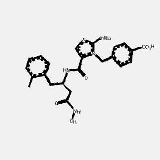 CCCCc1ncc(C(=O)N[C@@H](CC(=O)NO)Cc2ccccc2C)n1Cc1ccc(C(=O)O)cc1